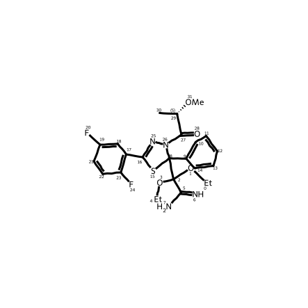 CCOC(OCC)(C(=N)N)C1(c2ccccc2)SC(c2cc(F)ccc2F)=NN1C(=O)[C@H](C)OC